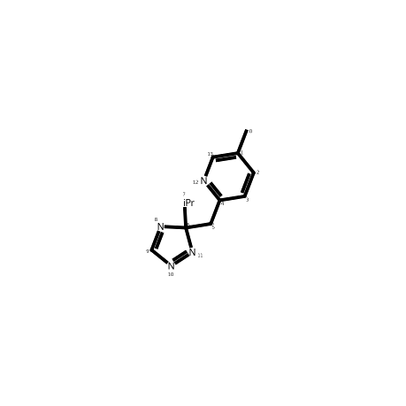 Cc1ccc([CH]C2(C(C)C)N=CN=N2)nc1